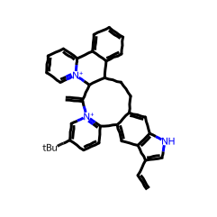 C=Cc1c[nH]c2cc3c(cc12)-c1ccc(C(C)(C)C)c[n+]1C(=C)C1C(CC3)c2ccccc2-c2cccc[n+]21